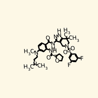 CN(C)CCN(C)c1ccc(C(=O)Nc2n[nH]c3c2CN(S(=O)(=O)c2cc(F)cc(F)c2)CC3(C)C)c(NC(=O)[C@H]2CCCO2)c1